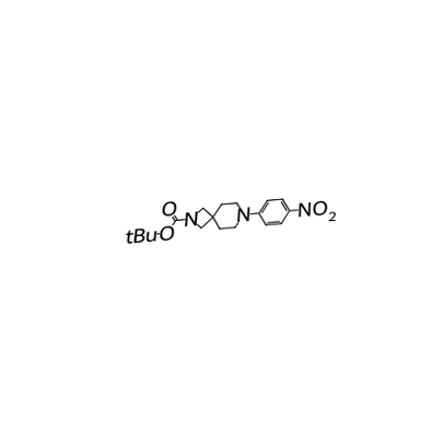 CC(C)(C)OC(=O)N1CC2(CCN(c3ccc([N+](=O)[O-])cc3)CC2)C1